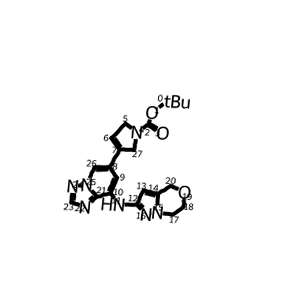 CC(C)(C)OC(=O)N1CC=C(c2cc(Nc3cc4n(n3)CCOC4)c3ncnn3c2)C1